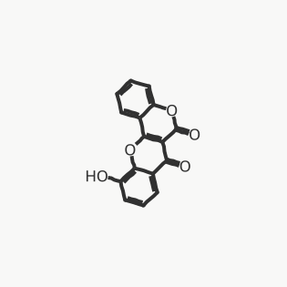 O=c1oc2ccccc2c2oc3c(O)cccc3c(=O)c12